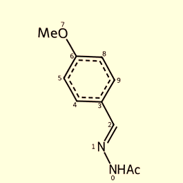 [CH2]C(=O)NN=Cc1ccc(OC)cc1